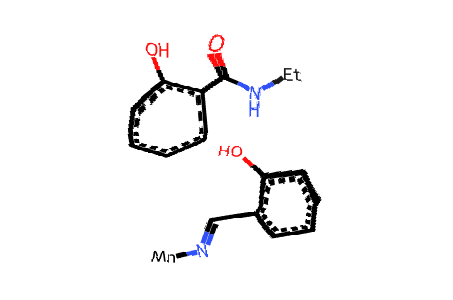 CCNC(=O)c1ccccc1O.Oc1ccccc1C=[N][Mn]